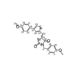 COc1ccc(CN2C(=O)S/C(=C\c3cc(-c4ccc(OC)cc4)cs3)C2=O)cc1